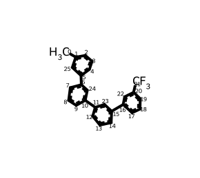 Cc1cccc(-c2cccc(-c3cccc(-c4cccc(C(F)(F)F)c4)c3)c2)c1